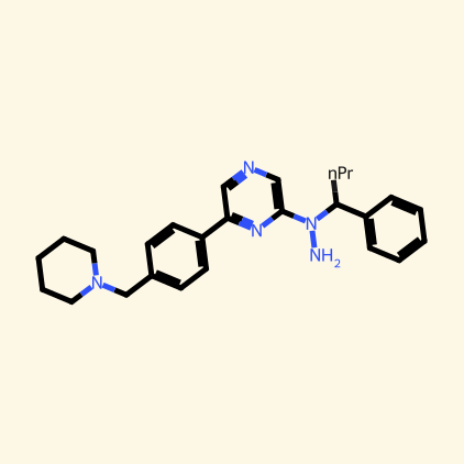 CCCC(c1ccccc1)N(N)c1cncc(-c2ccc(CN3CCCCC3)cc2)n1